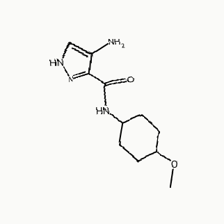 COC1CCC(NC(=O)c2n[nH]cc2N)CC1